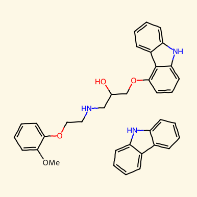 COc1ccccc1OCCNCC(O)COc1cccc2[nH]c3ccccc3c12.c1ccc2c(c1)[nH]c1ccccc12